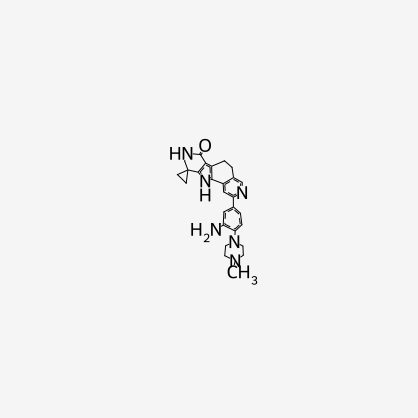 CN1CCN(c2ccc(-c3cc4c(cn3)CCc3c-4[nH]c4c3C(=O)NCC43CC3)cc2N)CC1